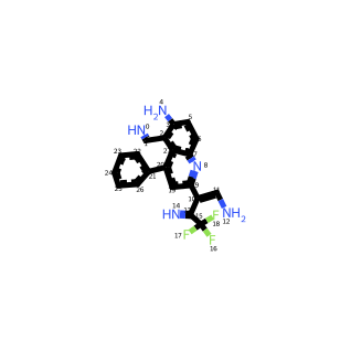 N=Cc1c(N)ccc2nc(/C(=C/N)C(=N)C(F)(F)F)cc(-c3ccccc3)c12